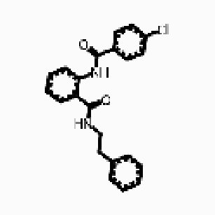 O=C(Nc1ccccc1C(=O)NCCc1ccccc1)c1ccc(Cl)cc1